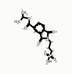 CC(C)OC(=O)c1ccc2c(c1)C(=O)N(CCCS(=O)(=O)O)C2=O